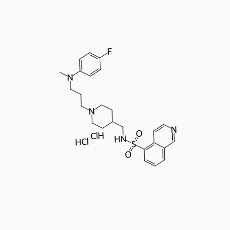 CN(CCCN1CCC(CNS(=O)(=O)c2cccc3cnccc23)CC1)c1ccc(F)cc1.Cl.Cl